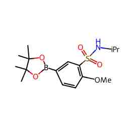 COc1ccc(B2OC(C)(C)C(C)(C)O2)cc1S(=O)(=O)NC(C)C